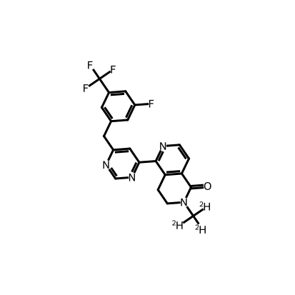 [2H]C([2H])([2H])N1CCc2c(ccnc2-c2cc(Cc3cc(F)cc(C(F)(F)F)c3)ncn2)C1=O